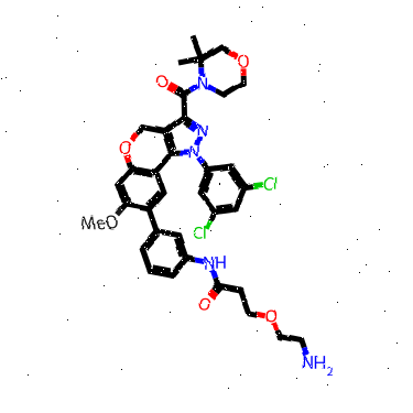 COc1cc2c(cc1-c1cccc(NC(=O)CCOCCN)c1)-c1c(c(C(=O)N3CCOCC3(C)C)nn1-c1cc(Cl)cc(Cl)c1)CO2